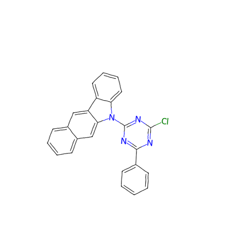 Clc1nc(-c2ccccc2)nc(-n2c3ccccc3c3cc4ccccc4cc32)n1